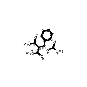 COC(=O)N[C@@H](c1ccccc1)C(C(=O)OC)C(=O)OC